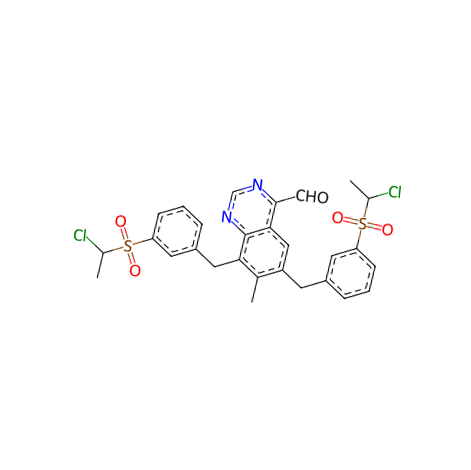 Cc1c(Cc2cccc(S(=O)(=O)C(C)Cl)c2)cc2c(C=O)ncnc2c1Cc1cccc(S(=O)(=O)C(C)Cl)c1